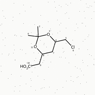 CC1(C)OC(CCl)CC(CC(=O)O)O1